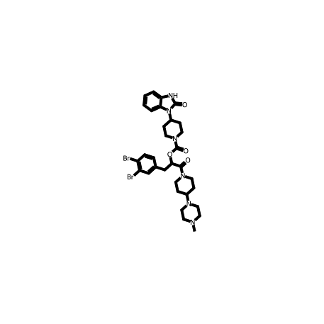 CN1CCN(C2CCN(C(=O)C(Cc3ccc(Br)c(Br)c3)OC(=O)N3CCC(n4c(=O)[nH]c5ccccc54)CC3)CC2)CC1